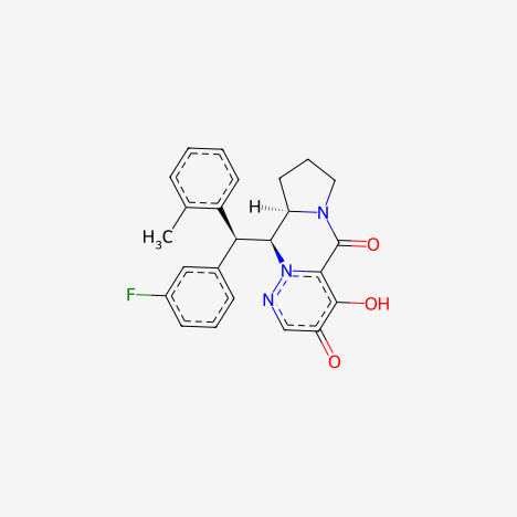 Cc1ccccc1[C@H](c1cccc(F)c1)[C@H]1[C@H]2CCCN2C(=O)c2c(O)c(=O)cnn21